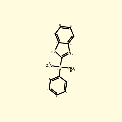 O=[N+]([O-])S(c1ccccc1)(c1nc2ccccc2s1)[N+](=O)[O-]